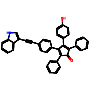 O=C1C(c2ccccc2)=C(c2ccc(O)cc2)C(c2ccc(C#Cc3c[nH]c4ccccc34)cc2)=C1c1ccccc1